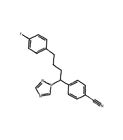 N#Cc1ccc(C(CCCc2ccc(F)cc2)n2cncn2)cc1